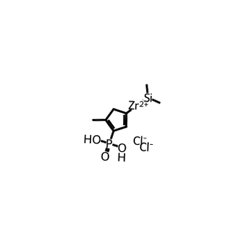 CC1=C(P(=O)(O)O)C=[C]([Zr+2]=[Si](C)C)C1.[Cl-].[Cl-]